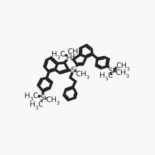 C[Si]1(CCc2ccccc2)C2=Cc3c(-c4ccc([Si](C)(C)C)cc4)cccc3[CH]2[Hf]([CH3])([CH3])[CH]2C1=Cc1c(-c3ccc([Si](C)(C)C)cc3)cccc12